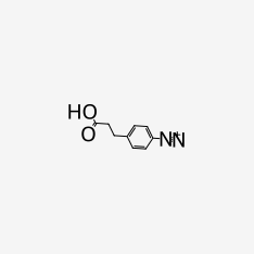 N#[N+]c1ccc(CCC(=O)O)cc1